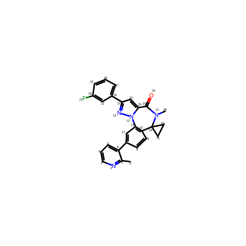 Cc1ncccc1-c1ccc2c(c1)-n1nc(-c3cccc(F)c3)cc1C(=O)N(C)C21CC1